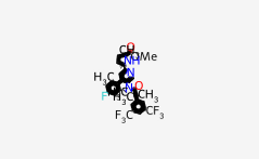 COC(=O)[C@@]1(C)CC[C@H](c2cc(-c3ccc(F)cc3C)c(N(C)C(=O)C(C)(C)c3cc(C(F)(F)F)cc(C(F)(F)F)c3)cn2)N1